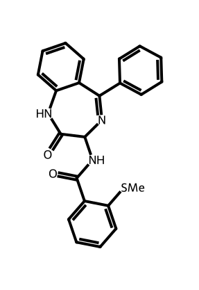 CSc1ccccc1C(=O)NC1N=C(c2ccccc2)c2ccccc2NC1=O